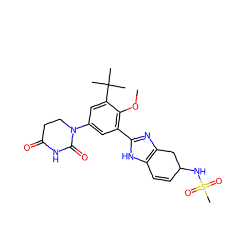 COc1c(-c2nc3c([nH]2)C=CC(NS(C)(=O)=O)C3)cc(N2CCC(=O)NC2=O)cc1C(C)(C)C